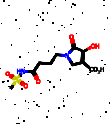 CS(=O)(=O)NC(=O)CCCN1CC(C(=O)O)=C(O)C1=O